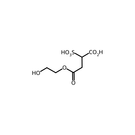 O=C(CC(C(=O)O)S(=O)(=O)O)OCCO